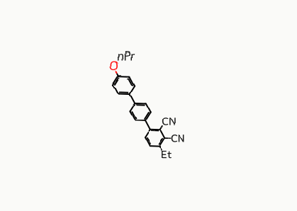 CCCOc1ccc(-c2ccc(-c3ccc(CC)c(C#N)c3C#N)cc2)cc1